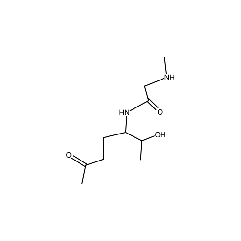 CNCC(=O)NC(CCC(C)=O)C(C)O